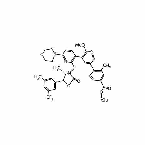 COc1ncc(-c2ccc(C(=O)OC(C)(C)C)cc2C)cc1-c1ccc(N2CCOCC2)nc1CN1C(=O)O[C@H](c2cc(C)cc(C(F)(F)F)c2)[C@@H]1C